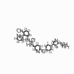 CCCNc1ncc(-c2ccc(Oc3ccc(NC(=O)Nc4cccc(Cl)c4-n4cccn4)cn3)cc2)s1